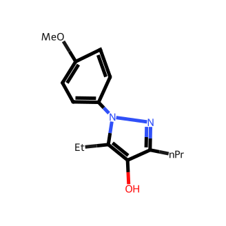 CCCc1nn(-c2ccc(OC)cc2)c(CC)c1O